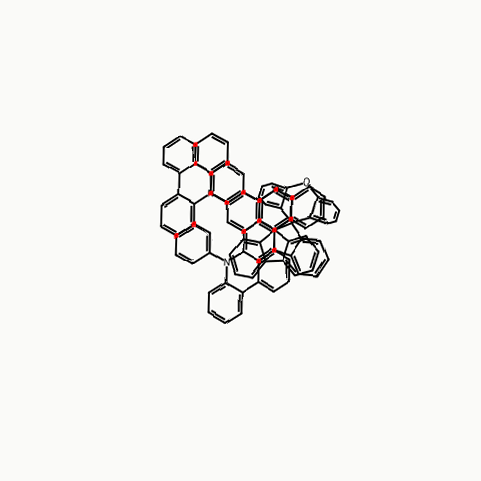 c1ccc(N(c2ccc3c(c2)-c2ccccc2C32c3ccccc3Oc3ccccc32)c2ccccc2-c2cccc(-c3cccc(-c4ccc(-c5ccccc5-c5ccccc5N(c5ccccc5)c5ccc6c(c5)Oc5ccccc5C65c6ccccc6-c6ccccc65)cc4)c3)c2)cc1